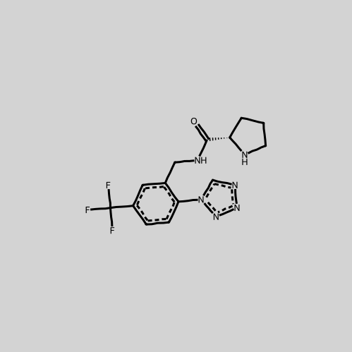 O=C(NCc1cc(C(F)(F)F)ccc1-n1cnnn1)[C@@H]1CCCN1